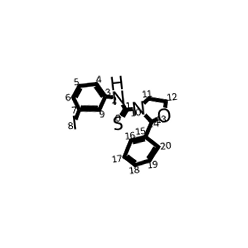 S=C(Nc1cccc(I)c1)N1CCOC1c1ccccc1